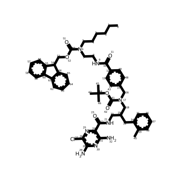 CCCCCCN(CCNC(=O)c1ccc(CN(CC(CNC(=O)c2nc(Cl)c(N)nc2N)Cc2ccccc2C)C(=O)OC(C)(C)C)cc1)C(=O)OCC1c2ccccc2-c2ccccc21